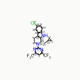 FC(F)(F)c1cc(C(F)(F)F)nc(N2CCc3c([nH]c4ccc(Cl)cc34)[C@@H]2CC2CC2)n1